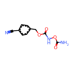 N#Cc1ccc(COC(=O)NOC(N)=O)cc1